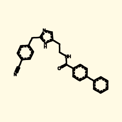 N#Cc1ccc(Cc2ncc(CCNC(=O)c3ccc(-c4ccccc4)cc3)[nH]2)cc1